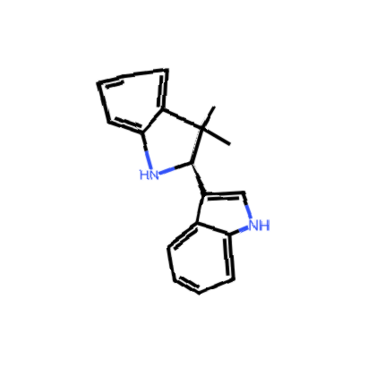 CC1(C)c2ccccc2N[C@@H]1c1c[nH]c2ccccc12